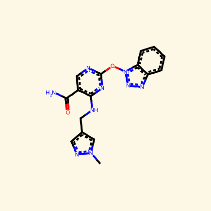 Cn1cc(CNc2nc(On3nnc4ccccc43)ncc2C(N)=O)cn1